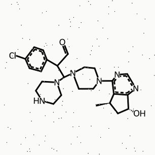 C[C@@H]1C[C@@H](O)c2ncnc(N3CCN(C(C(C=O)c4ccc(Cl)cc4)N4CCNCC4)CC3)c21